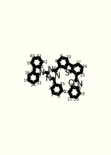 c1ccc(-c2nc(-c3cccc4c3sc3c(-c5nc6ccccc6o5)cccc34)nc(-n3c4ccccc4c4ccccc43)n2)cc1